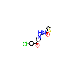 O=C(NCCN1CCC(C(=O)c2ccc(Cl)cc2)CC1)c1cccs1